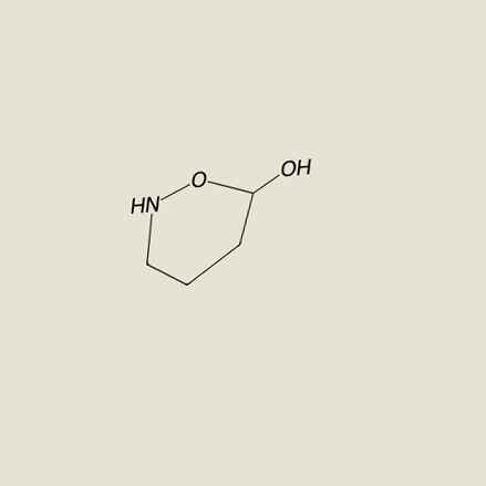 OC1CCCNO1